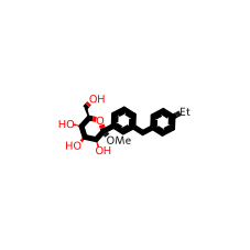 CCc1ccc(Cc2cccc(C3(OC)O[C@H](CO)[C@@H](O)[C@H](O)[C@H]3O)c2)cc1